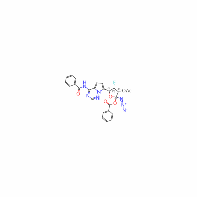 CC(=O)O[C@H]1[C@@H](F)[C@H](c2ccc3c(NC(=O)c4ccccc4)ncnn23)O[C@]1(N=[N+]=[N-])OC(=O)c1ccccc1